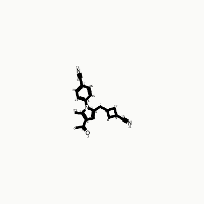 CC(=O)c1cc(CC2CC(C#N)C2)n(-c2ccc(C#N)cc2)c1C